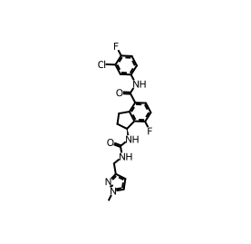 Cn1ccc(CNC(=O)N[C@H]2CCc3c(C(=O)Nc4ccc(F)c(Cl)c4)ccc(F)c32)n1